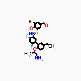 CCc1ccc(OC(C)CN)c(-c2cc(NSc3cc(C=O)cc(Br)c3O)c(F)cc2F)c1